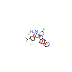 CC(C)c1c(F)cc(C(c2ccccc2)[C@@]2(C(N)=O)CC(F)CN2C(=O)Cc2ncco2)cc1F